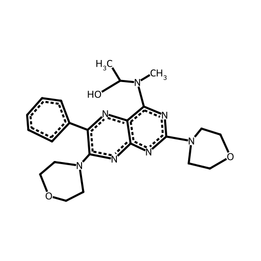 CC(O)N(C)c1nc(N2CCOCC2)nc2nc(N3CCOCC3)c(-c3ccccc3)nc12